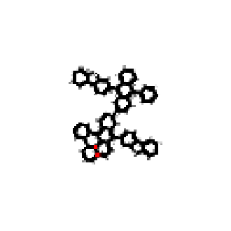 c1ccc(-c2ccccc2-c2c3ccccc3c(-c3ccc4c(c3)sc3ccccc34)c3cc(-c4ccc5c(-c6ccccc6)c6ccccc6c(-c6ccc7c(c6)sc6ccccc67)c5c4)ccc23)cc1